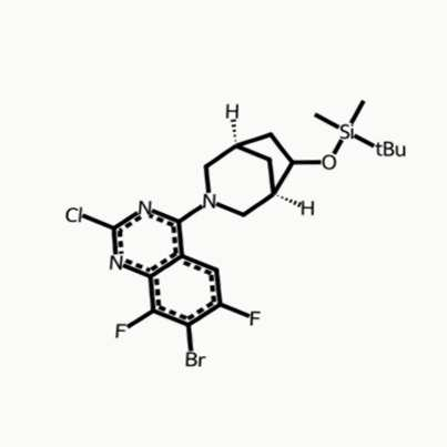 CC(C)(C)[Si](C)(C)OC1C[C@H]2C[C@@H]1CN(c1nc(Cl)nc3c(F)c(Br)c(F)cc13)C2